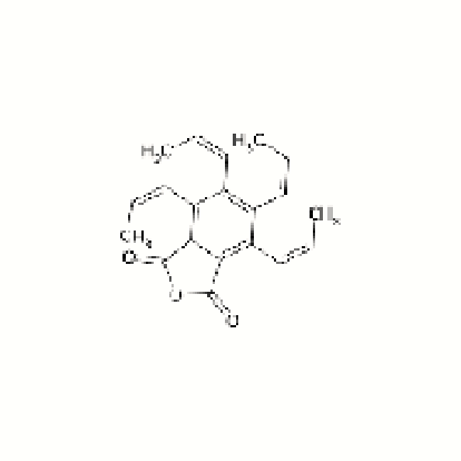 C/C=C\c1c(/C=C\C)c(/C=C\C)c2c(c1/C=C\C)C(=O)OC2=O